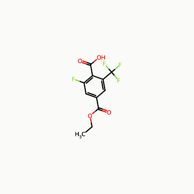 CCOC(=O)c1cc(F)c(C(=O)O)c(C(F)(F)F)c1